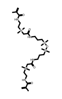 C=C(C)C(=O)NCC[N+](C)(C)CC(=O)NCCC[Si](C)(C)O[Si](C)(C)CCCNC(=O)C[N+](C)(C)CCNC(=O)C(=C)C